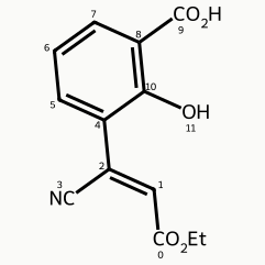 CCOC(=O)C=C(C#N)c1cccc(C(=O)O)c1O